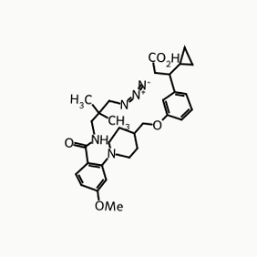 COc1ccc(C(=O)NCC(C)(C)CN=[N+]=[N-])c(N2CCC(COc3cccc(C(CC(=O)O)C4CC4)c3)CC2)c1